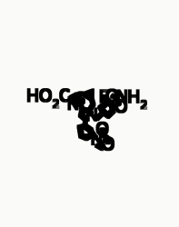 NS(=O)(=O)c1ccc(Cn2c(-c3cccc(N4CCOCC4=O)c3)cc(-c3nc(C(=O)O)cs3)c2CC2CC2)cc1F